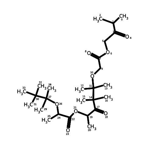 CC(C)C(=O)COC(=O)COC(C)(C)C(C)(C)C(=O)C(C)OC(=O)C(C)OC(C)(C)C(C)(C)C